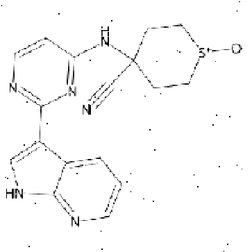 N#CC1(Nc2ccnc(-c3c[nH]c4ncccc34)n2)CC[S+]([O-])CC1